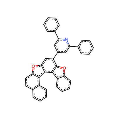 c1ccc(-c2cc(-c3cc4oc5ccc6ccccc6c5c4c4c3oc3ccccc34)cc(-c3ccccc3)n2)cc1